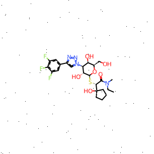 CCN(C)C(=O)[C@@H](S[C@@H]1O[C@H](CO)[C@H](O)[C@H](n2cc(-c3cc(F)c(F)c(F)c3)nn2)[C@H]1O)C1(O)CCCC1